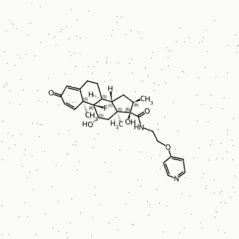 C[C@@H]1C[C@H]2[C@@H]3CCC4=CC(=O)C=C[C@]4(C)[C@@]3(F)[C@@H](O)C[C@]2(C)[C@@]1(O)C(=O)NCCOc1ccncc1